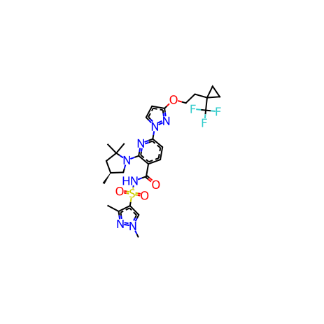 Cc1nn(C)cc1S(=O)(=O)NC(=O)c1ccc(-n2ccc(OCCC3(C(F)(F)F)CC3)n2)nc1N1C[C@@H](C)CC1(C)C